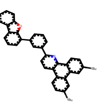 CC(C)(C)c1ccc2c(c1)c1cc(C(C)(C)C)ccc1c1nc(-c3cccc(-c4cccc5c4oc4ccccc45)c3)ccc21